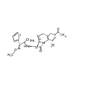 CON=C(C(=O)N[C@@H]1C(=O)N2C(C(=O)O)=C(COC(C)=O)CS[C@H]12)c1ccco1